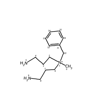 C[N+](CCCN)(CCCN)Cc1ccccc1